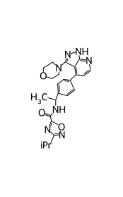 CC(C)c1noc(C(=O)NC(C)c2ccc(-c3ccnc4[nH]nc(N5CCOCC5)c34)cc2)n1